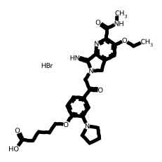 Br.CCOc1cc2c(nc1C(=O)NC)C(=N)N(CC(=O)c1ccc(OCCCCC(=O)O)c(N3CCCC3)c1)C2